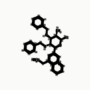 CC[C@H]1OC(c2cc(CC(=O)O)c3ccccc3c2)[C@H](OCc2ccccc2)[C@@H](OCc2ccccc2)[C@@H]1C